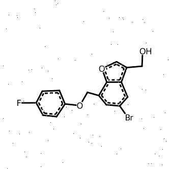 OCc1coc2c(COc3ccc(F)cc3)cc(Br)cc12